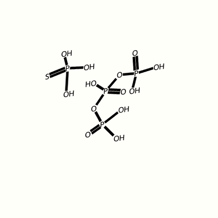 O=P(O)(O)OP(=O)(O)OP(=O)(O)O.OP(O)(O)=S